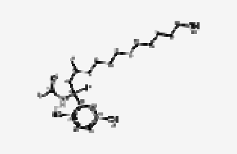 CC(=O)NC(I)(CC(C)CCCCCCCCCCO)c1cc(O)ccc1O